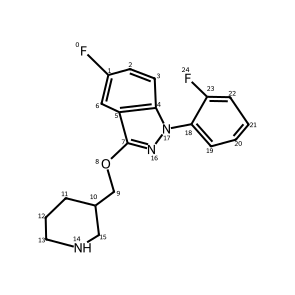 Fc1ccc2c(c1)c(OCC1CCCNC1)nn2-c1ccccc1F